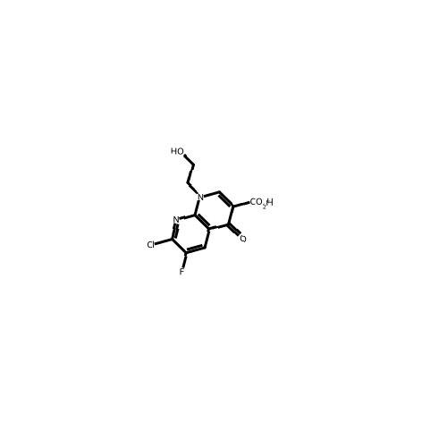 O=C(O)c1cn(CCO)c2nc(Cl)c(F)cc2c1=O